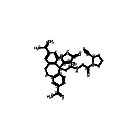 C=C(N)c1ccc2c(c1)CCc1cc(C(N)=O)ccc1C2(C[C@H](C)NCC(=O)N1CCCC1C#N)c1nc(=O)o[nH]1